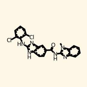 Cn1c(NC(=O)c2ccc3[nH]c(Nc4c(Cl)cccc4Cl)nc3c2)nc2ccccc21